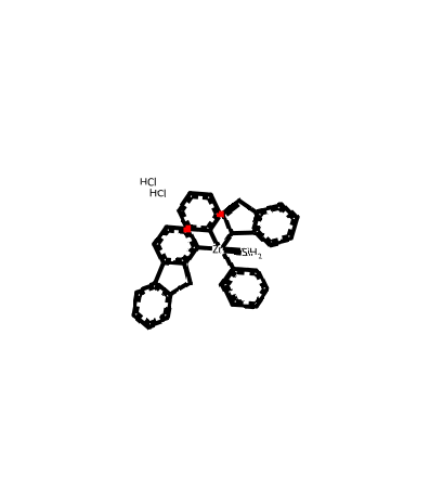 Cl.Cl.[SiH2]=[Zr]([c]1ccccc1)([c]1ccccc1)([c]1cccc2c1Cc1ccccc1-2)[CH]1C=Cc2ccccc21